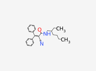 CCCCC(CC)CNC(=O)C(C#N)=C(c1ccccc1)c1ccccc1